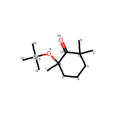 CC1(C)CCCC(C)(O[Si](C)(C)C)C1=O